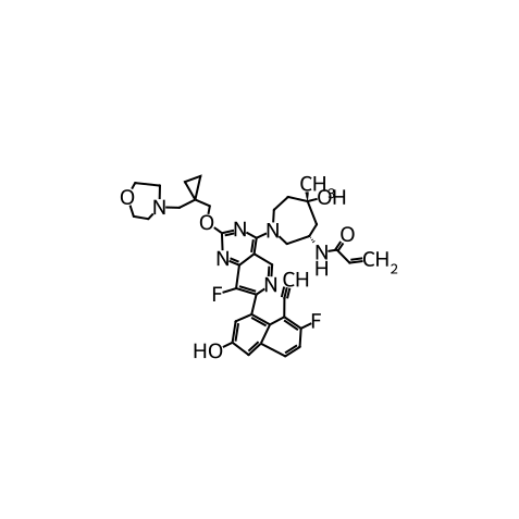 C#Cc1c(F)ccc2cc(O)cc(-c3ncc4c(N5CC[C@](C)(O)C[C@H](NC(=O)C=C)C5)nc(OCC5(CN6CCOCC6)CC5)nc4c3F)c12